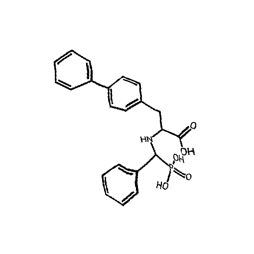 O=C(O)C(Cc1ccc(-c2ccccc2)cc1)NC(c1ccccc1)P(=O)(O)O